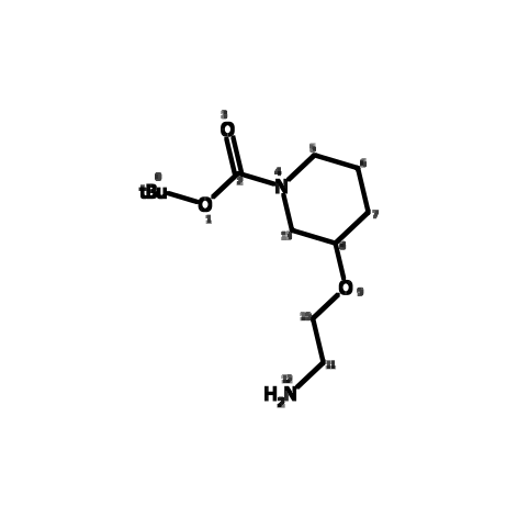 CC(C)(C)OC(=O)N1CCCC(OCCN)C1